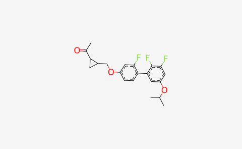 CC(=O)C1CC1COc1ccc(-c2cc(OC(C)C)cc(F)c2F)c(F)c1